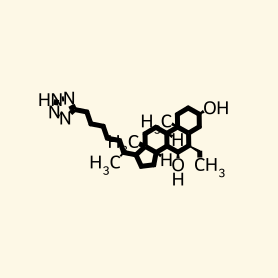 CC[C@@H]1C2C[C@H](O)CC[C@@]2(C)[C@H]2CCC3(C)C([C@H](C)CCCCCc4nn[nH]n4)CC[C@H]3C2[C@@H]1O